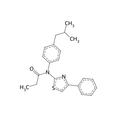 CCC(=O)N(c1ccc(CC(C)C)cc1)c1nc(-c2ccccc2)cs1